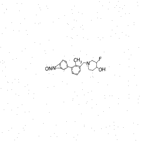 Cc1c(CN2CCC(O)C(F)C2)cccc1-c1ccc2c(c1)N2N=O